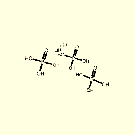 O=P(O)(O)O.O=P(O)(O)O.O=P(O)(O)O.[LiH].[LiH]